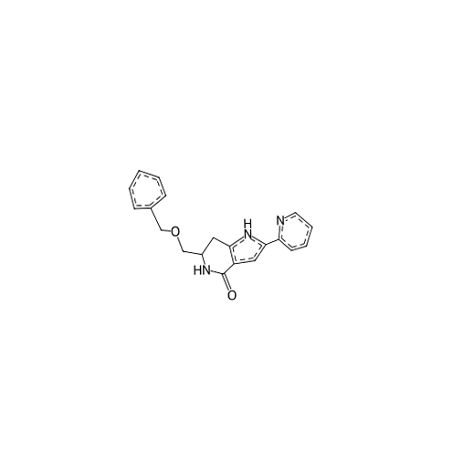 O=C1NC(COCc2ccccc2)Cc2[nH]c(-c3ccccn3)cc21